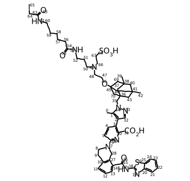 Cc1c(-c2ccc(N3CCc4cccc(C(=O)Nc5nc6ccccc6s5)c4C3)nc2C(=O)O)cnn1CC12CC3(C)CC(C)(C1)CC(OCCN(CCCNC(=O)CCCCCNC(=O)CI)CCS(=O)(=O)O)(C3)C2